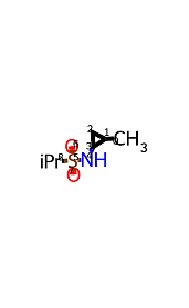 CC1CC1NS(=O)(=O)C(C)C